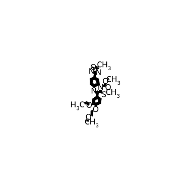 CCOc1cc(C(=Nc2ccc(-c3noc(C)n3)cc2)/C(=N/C(=O)OC)SC)ccc1OCCOC